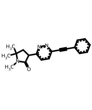 CN1C(=O)C(c2ccc(C#Cc3ccccc3)nn2)CC1(C)C